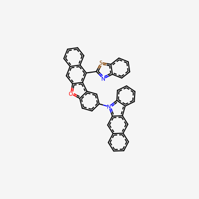 c1ccc2cc3c(cc2c1)c1ccccc1n3-c1ccc2oc3cc4ccccc4c(-c4nc5ccccc5s4)c3c2c1